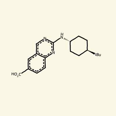 CC(C)(C)[C@H]1CC[C@H](Nc2ncc3cc(C(=O)O)ccc3n2)CC1